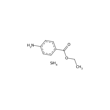 CCOC(=O)c1ccc(N)cc1.[SiH4]